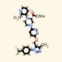 COC(=O)[C@@H]1CN(c2ccc(OCc3c(C)nnn3-c3ccc(C(F)F)cc3)nn2)CCN1c1cccnc1[N+](=O)[O-]